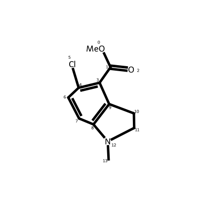 COC(=O)c1c(Cl)ccc2c1CCN2C